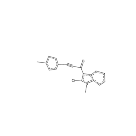 Cc1ccc(C#CC(=O)c2c(Cl)n(C)c3ccccc23)cc1